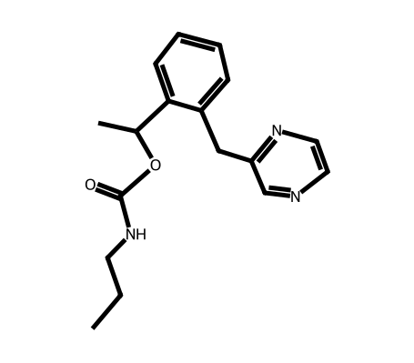 CCCNC(=O)OC(C)c1ccccc1Cc1cnccn1